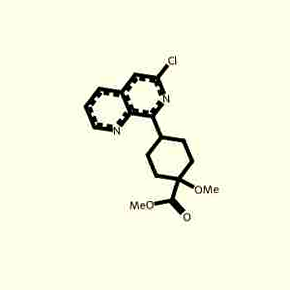 COC(=O)C1(OC)CCC(c2nc(Cl)cc3cccnc23)CC1